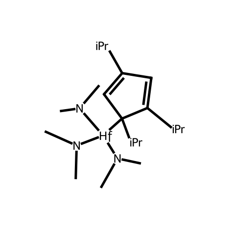 CC(C)C1=C[C](C(C)C)([Hf]([N](C)C)([N](C)C)[N](C)C)C(C(C)C)=C1